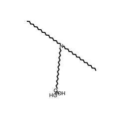 CCCCCCCCCCCCCCCCCCN(CCCCCCCCCCCCCCCCCC)CCCCCCCCCCCCCCCCCCOP(O)O